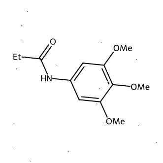 CCC(=O)Nc1cc(OC)c(OC)c(OC)c1